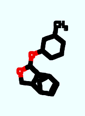 CC1CCCC(OC2OCC3C2=C2C=CC3C2)C1